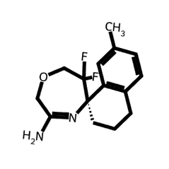 Cc1ccc2c(c1)[C@@]1(CCC2)N=C(N)COCC1(F)F